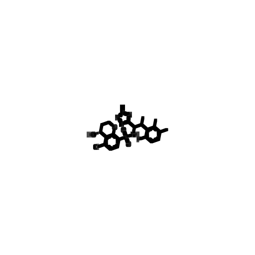 Cc1ccc(F)c(C(C)C(NS(=O)(=O)c2ccc(Cl)c3c2OCC[C@H]3O)c2nn[nH]n2)c1C